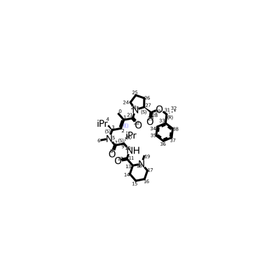 C/C(=C\[C@H](C(C)C)N(C)C(=O)[C@@H](NC(=O)C1CCCCN1C)C(C)C)C(=O)N1CCC[C@H]1C(=O)O[C@H](C)c1ccccc1